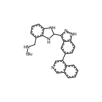 CC(C)(C)NCc1cccc2c1NC(c1n[nH]c3ccc(-c4cncc5ccccc45)cc13)N2